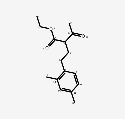 CCOC(=O)C(CCc1ccc(C)cc1C)C(C)=O